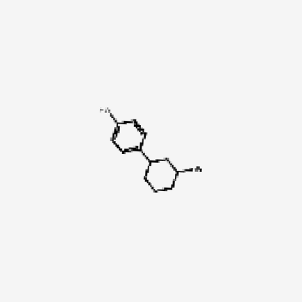 CCCC1CCCC(c2ccc(O)cc2)C1